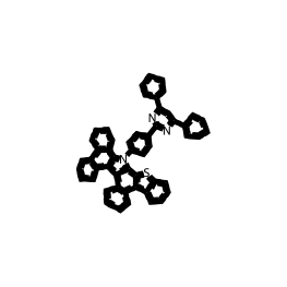 c1ccc(-c2cc(-c3ccccc3)nc(-c3ccc(-n4c5c6ccccc6c6ccccc6c5c5c6ccccc6c6c7ccccc7sc6c54)cc3)n2)cc1